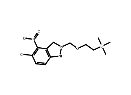 C[Si](C)(C)CCOCN1Cc2c(ccc(Cl)c2[N+](=O)[O-])N1